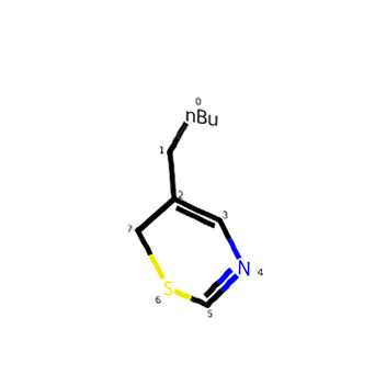 CCCCCC1=CN=CSC1